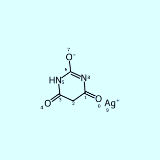 O=C1CC(=O)NC([O-])=N1.[Ag+]